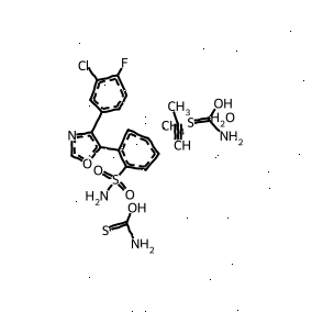 C.C#CC.NC(O)=S.NC(O)=S.NS(=O)(=O)c1ccccc1-c1ocnc1-c1ccc(F)c(Cl)c1.O